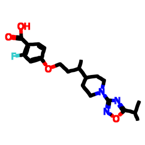 CC(C)c1nc(N2CCC(C(C)CCOc3ccc(C(=O)O)c(F)c3)CC2)no1